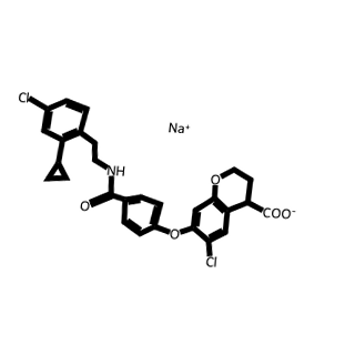 O=C(NCCc1ccc(Cl)cc1C1CC1)c1ccc(Oc2cc3c(cc2Cl)C(C(=O)[O-])CCO3)cc1.[Na+]